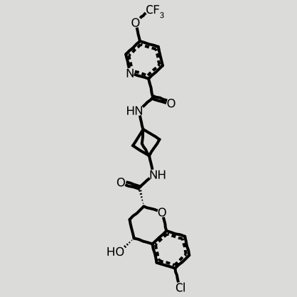 O=C(NC12CC(NC(=O)[C@H]3C[C@@H](O)c4cc(Cl)ccc4O3)(C1)C2)c1ccc(OC(F)(F)F)cn1